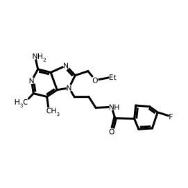 CCOCc1nc2c(N)nc(C)c(C)c2n1CCCNC(=O)c1ccc(F)cc1